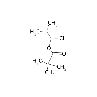 CC(C)[C@H](Cl)OC(=O)C(C)(C)C